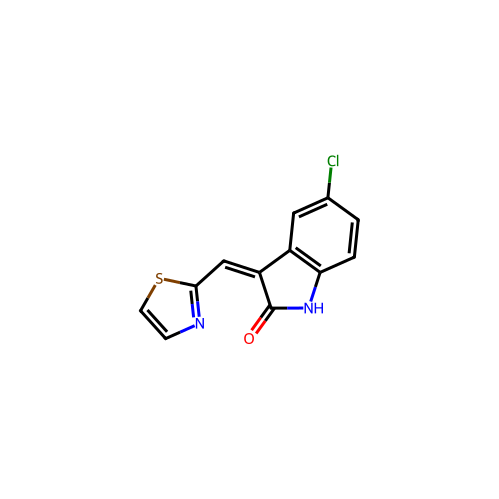 O=C1Nc2ccc(Cl)cc2/C1=C/c1nccs1